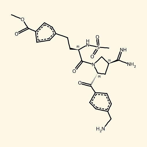 COC(=O)c1ccc(CC[C@@H](NS(C)(=O)=O)C(=O)N2C[C@@H](C(=N)N)C[C@@H]2C(=O)c2ccc(CN)cc2)cc1